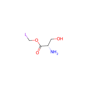 N[C@@H](CO)C(=O)OCI